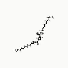 CCCCCCCCCCNC(=O)c1ccc(C(=O)NCCCCCCCCCC)o1